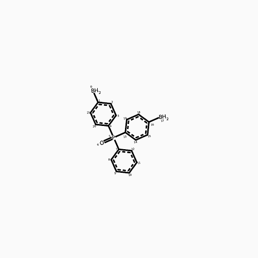 Bc1ccc(P(=O)(c2ccccc2)c2ccc(B)cc2)cc1